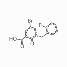 O=C(O)c1cc(Br)cn(Cc2ccccc2F)c1=O